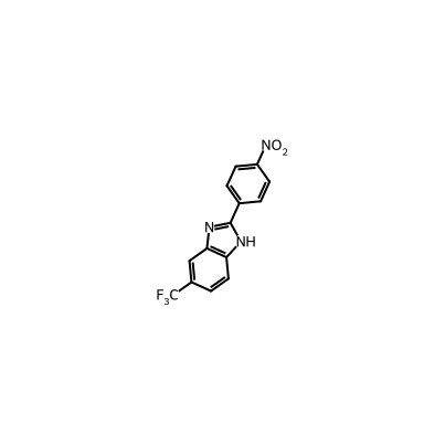 O=[N+]([O-])c1ccc(-c2nc3cc(C(F)(F)F)ccc3[nH]2)cc1